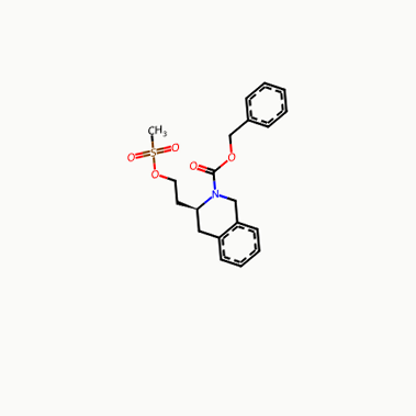 CS(=O)(=O)OCC[C@@H]1Cc2ccccc2CN1C(=O)OCc1ccccc1